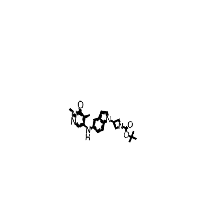 Cc1c(Nc2ccc3c(ccn3C3CN(C(=O)OC(C)(C)C)C3)c2)cnn(C)c1=O